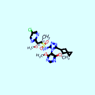 COc1ncnc(OC)c1-n1c(NS(=O)(=O)[C@@H](C)[C@H](OC)c2ncc(Cl)cn2)nnc1C1CC2(CC2)C1